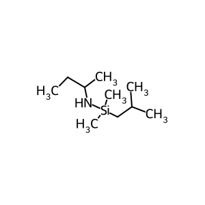 CCC(C)N[Si](C)(C)CC(C)C